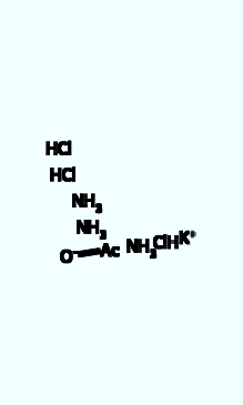 CC(=O)[O-].Cl.Cl.Cl.N.N.N.[K+]